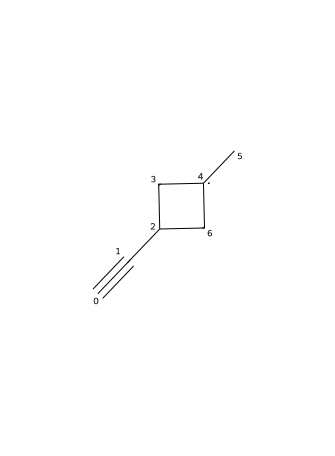 C#CC1C[C](C)C1